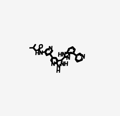 CC(C)CC(=O)Nc1cncc(-c2cnc3c(c2)C(c2nc4c(-c5cccnc5)cccc4[nH]2)NN3)c1